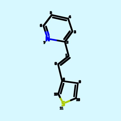 C(=Cc1ccccn1)c1ccsc1